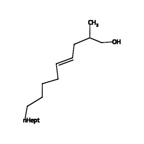 CCCCCCCCCCCC=CCC(C)CO